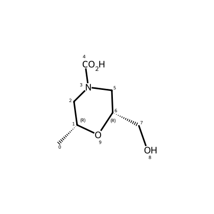 C[C@@H]1CN(C(=O)O)C[C@H](CO)O1